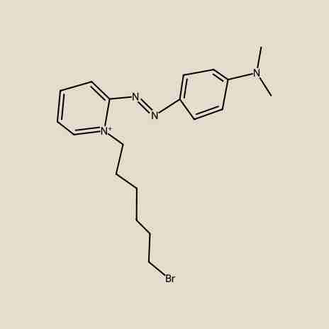 CN(C)c1ccc(/N=N/c2cccc[n+]2CCCCCCBr)cc1